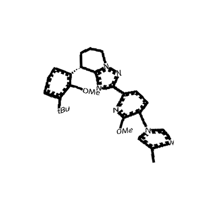 COc1nc(-c2nc3n(n2)CCC[C@H]3c2cccc(C(C)(C)C)c2OC)ccc1-n1cnc(C)c1